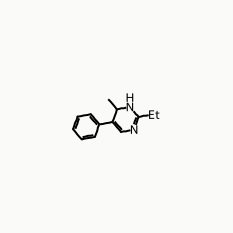 CCC1=NC=C(c2ccccc2)C(C)N1